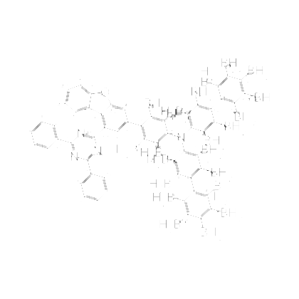 Bc1c(B)c(B)c(-c2c(B)c(B)c(N(c3c(B)c(B)c(-c4cc(-c5nc(-c6ccccc6)nc(-c6ccccc6)n5)c5c(c4)oc4ccccc45)c(B)c3B)c3c(B)c(B)c(-c4c(B)c(B)c(B)c(B)c4B)c(B)c3B)c(B)c2B)c(B)c1B